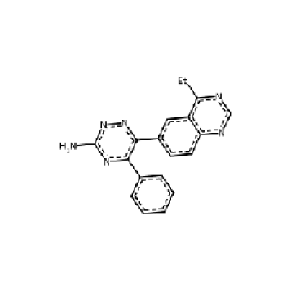 CCc1ncnc2ccc(-c3nnc(N)nc3-c3ccccc3)cc12